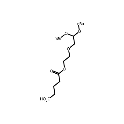 CCCCOC(COCCOC(=O)CCCC(=O)O)OCCCC